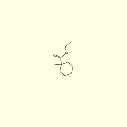 CCNC(=O)C1(C)CCCCC1